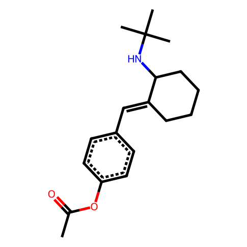 CC(=O)Oc1ccc(C=C2CCCCC2NC(C)(C)C)cc1